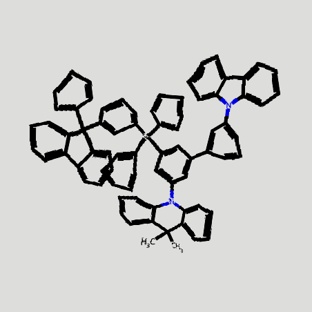 CC1(C)c2ccccc2N(c2cc(-c3cccc(-n4c5ccccc5c5ccccc54)c3)cc([Si](c3ccccc3)(c3ccccc3)c3cccc(C4(c5ccccc5)c5ccccc5-c5ccccc54)c3)c2)c2ccccc21